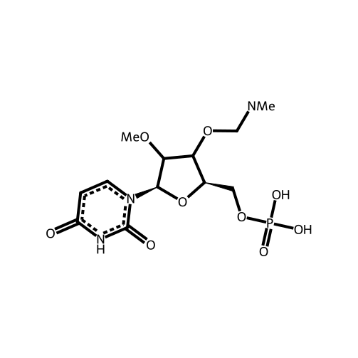 CNCOC1C(OC)[C@H](n2ccc(=O)[nH]c2=O)O[C@@H]1COP(=O)(O)O